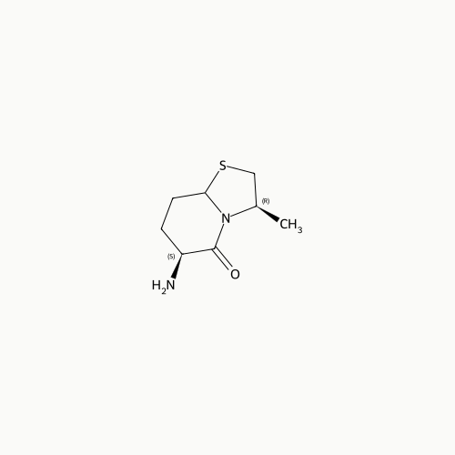 C[C@@H]1CSC2CC[C@H](N)C(=O)N21